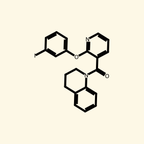 O=C(c1cccnc1Oc1cccc(I)c1)N1CCCc2ccccc21